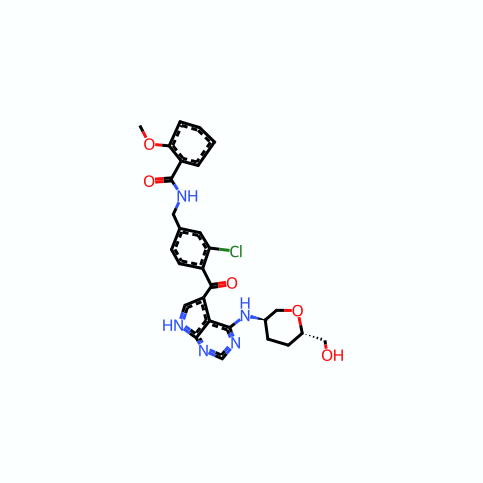 COc1ccccc1C(=O)NCc1ccc(C(=O)c2c[nH]c3ncnc(N[C@@H]4CC[C@@H](CO)OC4)c23)c(Cl)c1